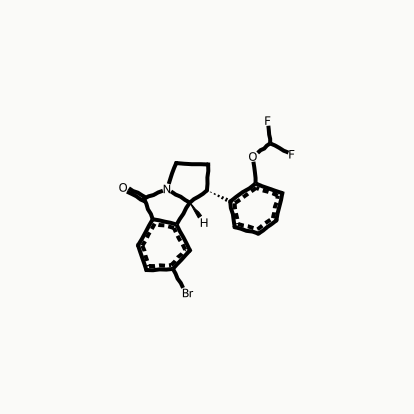 O=C1c2ccc(Br)cc2[C@H]2[C@@H](c3ccccc3OC(F)F)CCN12